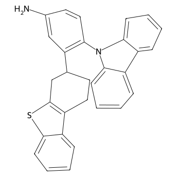 Nc1ccc(-n2c3ccccc3c3ccccc32)c(C2CCc3c(sc4ccccc34)C2)c1